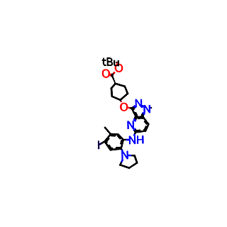 Cc1cc(Nc2ccc3c(n2)c(O[C@H]2CC[C@H](C(=O)OC(C)(C)C)CC2)nn3C)c(N2CCCC2)cc1I